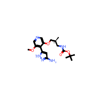 COc1cncc(OC[C@@H](C)CNC(=O)OC(C)(C)C)c1-c1cc(N)n[nH]1